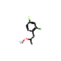 CCCCO[C](C)Cc1ccc(F)cc1Cl